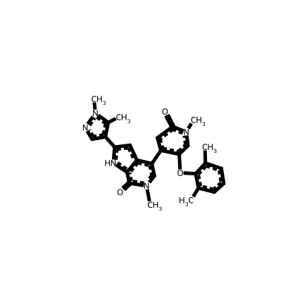 Cc1cccc(C)c1Oc1cn(C)c(=O)cc1-c1cn(C)c(=O)c2[nH]c(-c3cnn(C)c3C)cc12